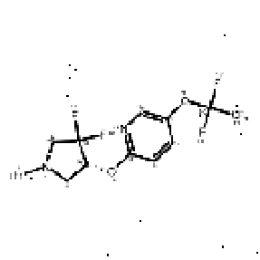 CC(C)N1C[C@@H](Oc2ccc(OC(F)(F)C(F)(F)F)cn2)C(F)(F)C1